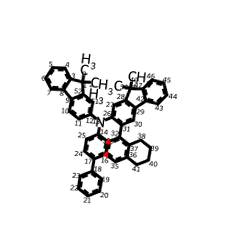 CC1(C)c2ccccc2-c2ccc(N(c3ccc(-c4ccccc4)cc3)c3cc4c(cc3-c3cccc5c3CCCC5)-c3ccccc3C4(C)C)cc21